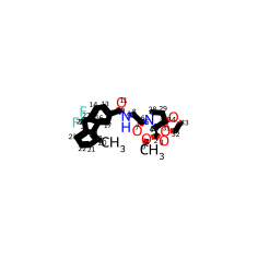 COC(=O)[C@H]1N(C(=O)CNC(=O)c2ccc3c(c2)-c2c(C)cccc2C3(F)F)CCC12OCCO2